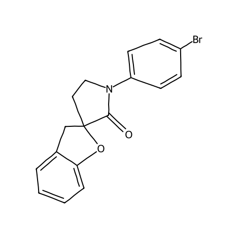 O=C1N(c2ccc(Br)cc2)CCC12Cc1ccccc1O2